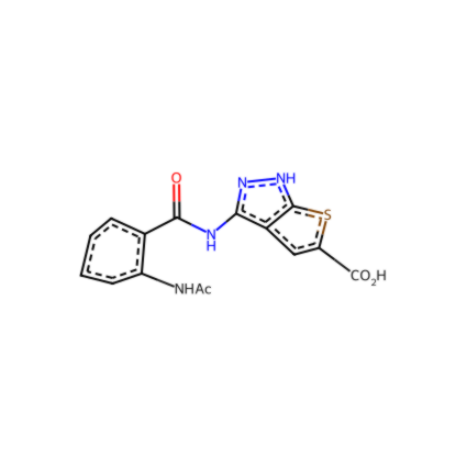 CC(=O)Nc1ccccc1C(=O)Nc1n[nH]c2sc(C(=O)O)cc12